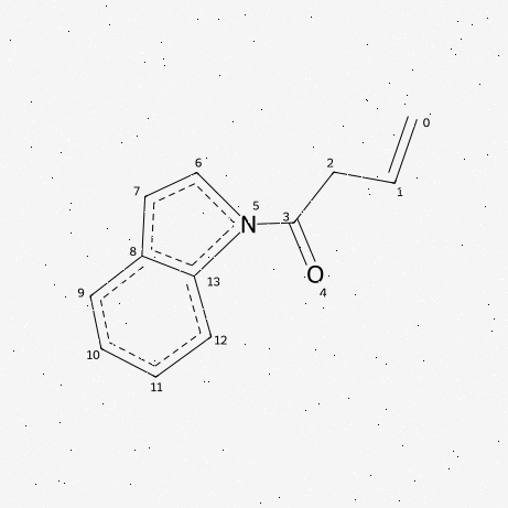 C=CCC(=O)n1ccc2ccccc21